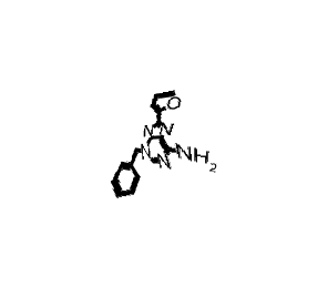 Nc1ncn(Cc2ccccc2)c2nc(-c3ccco3)nc1-2